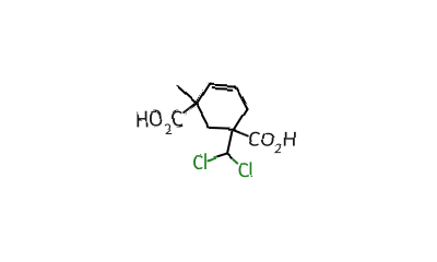 CC1(C(=O)O)C=CCC(C(=O)O)(C(Cl)Cl)C1